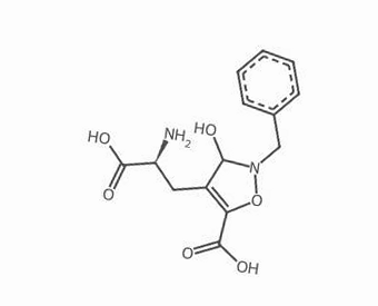 N[C@@H](CC1=C(C(=O)O)ON(Cc2ccccc2)C1O)C(=O)O